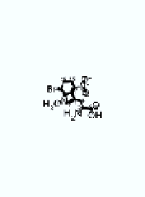 Cn1cc(CC(N)C(=O)O)c2c([N+](=O)[O-])ccc(Br)c21